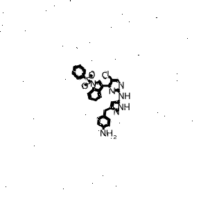 Nc1ccc(Cc2cc(Nc3ncc(Cl)c(-c4cn(S(=O)(=O)c5ccccc5)c5ccccc45)n3)[nH]n2)cc1